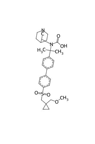 COCC1(CS(=O)(=O)c2ccc(-c3ccc(C(C)(C)N(C(=O)O)C4CN5CCC4CC5)cc3)cc2)CC1